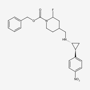 O=C(OCc1ccccc1)N1CCC(CN[C@@H]2C[C@H]2c2ccc([N+](=O)[O-])cc2)CC1F